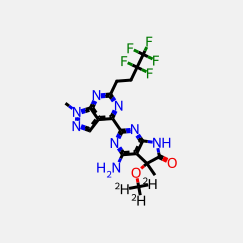 [2H]C([2H])([2H])OC1(C)C(=O)Nc2nc(-c3nc(CCC(F)(F)C(F)(F)F)nc4c3cnn4C)nc(N)c21